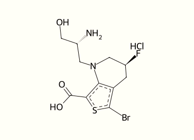 Cl.N[C@@H](CO)CN1C[C@@H](F)Cc2c(Br)sc(C(=O)O)c21